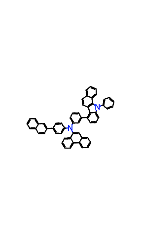 c1ccc(-n2c3cccc(-c4cccc(N(c5ccc(-c6ccc7ccccc7c6)cc5)c5cc6ccccc6c6ccccc56)c4)c3c3ccc4ccccc4c32)cc1